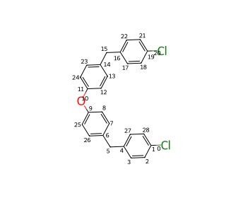 Clc1ccc(Cc2ccc(Oc3ccc(Cc4ccc(Cl)cc4)cc3)cc2)cc1